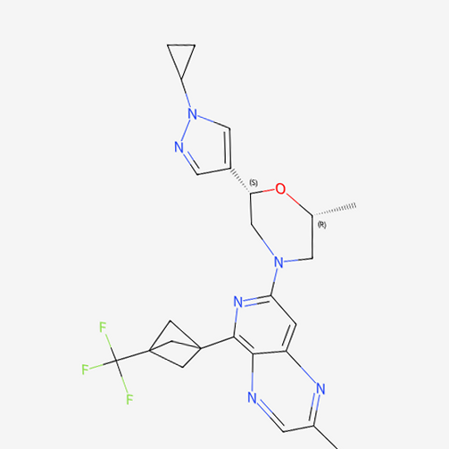 Cc1cnc2c(C34CC(C(F)(F)F)(C3)C4)nc(N3C[C@@H](C)O[C@@H](c4cnn(C5CC5)c4)C3)cc2n1